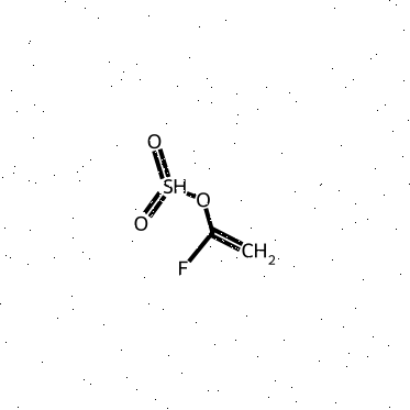 C=C(F)O[SH](=O)=O